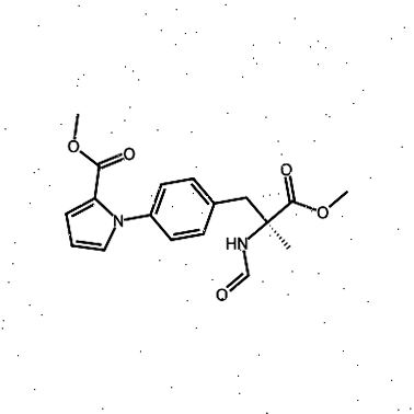 COC(=O)c1cccn1-c1ccc(C[C@](C)(NC=O)C(=O)OC)cc1